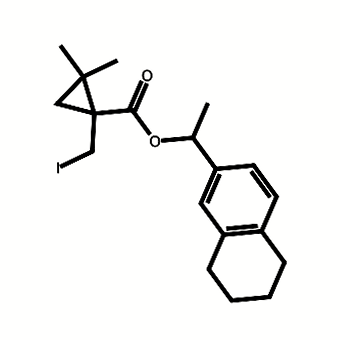 CC(OC(=O)C1(CI)CC1(C)C)c1ccc2c(c1)CCCC2